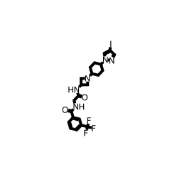 O=C(CNC(=O)c1cccc(C(F)(F)F)c1)NC1CN(C2CCC(n3cc(I)cn3)CC2)C1